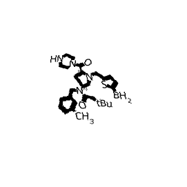 Bc1ccc(CN2C[C@@H](N(Cc3cccc(C)c3)C(=O)CC(C)(C)C)C[C@H]2C(=O)N2CCNCC2)s1